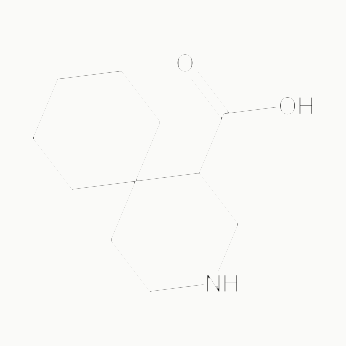 O=C(O)C1CNCCC12CCCCC2